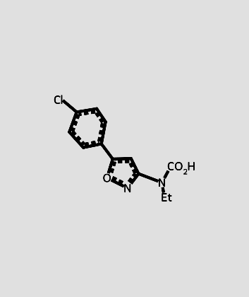 CCN(C(=O)O)c1cc(-c2ccc(Cl)cc2)on1